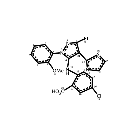 CCc1nn(-c2ccccc2OC)c(Nc2ccc(Cl)cc2C(=O)O)c1-c1nccs1